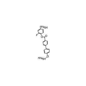 CCCCCCCOc1ccc(-c2ccc(C(=O)Oc3ccc(CCCCCCC)cc3F)cc2)cc1